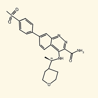 C[C@@H](Nc1c(C(N)=O)nnc2cc(-c3ccc(S(C)(=O)=O)cc3)ccc12)C1CCOCC1